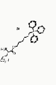 NC(CCC(=O)O)C(=O)OCCCCCC[P+](c1ccccc1)(c1ccccc1)c1ccccc1.[Br-]